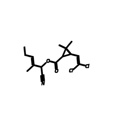 CCC=C(C)C(C#N)OC(=O)C1C(C=C(Cl)Cl)C1(C)C